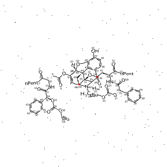 CCCCCC(=O)[C@H](CC(=O)OC1=CC[C@@]2(OC(=O)C[C@H](NC(=O)[C@@H](OC(=O)OC(C)(C)C)c3ccccc3)C(=O)CCCCC)[C@H]3Cc4ccc(O)c5c4[C@@]2(CCN3C)[C@H]1O5)NC(=O)[C@@H](OC(=O)OC(C)(C)C)c1ccccc1